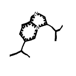 CC(C)c1ccc2ncc(C(C)C)n2c1